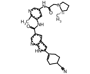 Cc1ncc(NC(=O)CN2CCC[C@@H]2C)cc1NC(=O)c1cnc2[nH]c(C3=CCC(C#N)CC3)cc2c1